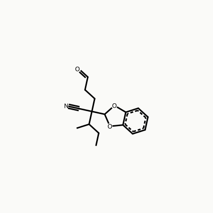 CCC(C)C(C#N)(CCC=O)C1Oc2ccccc2O1